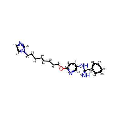 N=C(Nc1ccc(OCCCCCCCCn2ccnc2)nc1)c1ccccc1